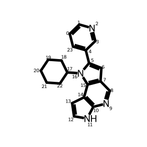 c1cncc(-c2cc3cnc4[nH]ccc4c3n2C2CCCCC2)c1